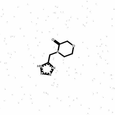 O=C1COCCN1Cc1nnn[nH]1